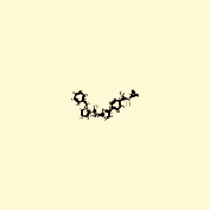 O=C(NC1CC1)c1ccc(-c2csc(NC(=O)[C@@H]3CCCN3Cc3ccccc3)n2)cc1